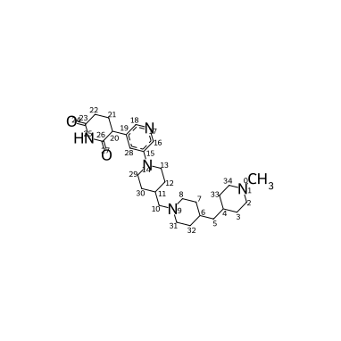 CN1CCC(CC2CCN(CC3CCN(c4cncc(C5CCC(=O)NC5=O)c4)CC3)CC2)CC1